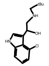 CC(C)(C)CNCC(O)c1c[nH]c2cccc(Cl)c12